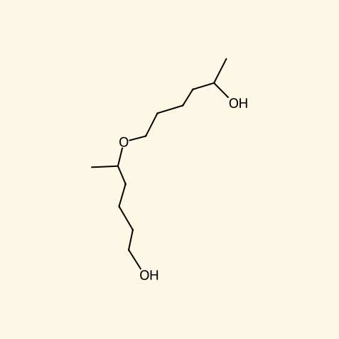 CC(O)CCCCOC(C)CCCCO